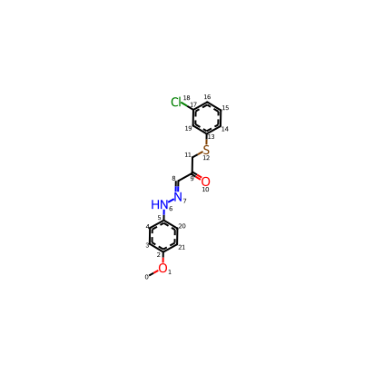 COc1ccc(NN=CC(=O)CSc2cccc(Cl)c2)cc1